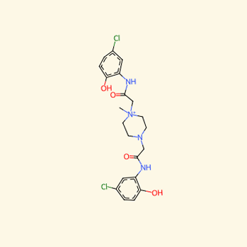 C[N+]1(CC(=O)Nc2cc(Cl)ccc2O)CCN(CC(=O)Nc2cc(Cl)ccc2O)CC1